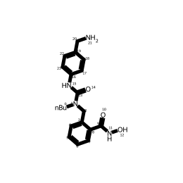 CCCCN(Cc1ccccc1C(=O)NO)C(=O)Nc1ccc(CN)cc1